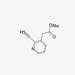 COC(=O)Cc1cccnc1C#[SH]